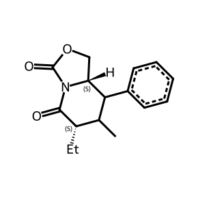 CC[C@@H]1C(=O)N2C(=O)OC[C@@H]2C(c2ccccc2)C1C